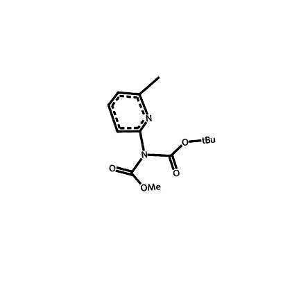 COC(=O)N(C(=O)OC(C)(C)C)c1cccc(C)n1